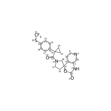 O=C1Nc2cnccc2C2(CCN(C(=O)C3(c4ccc(SC(F)(F)F)cc4)CC3)C2)O1